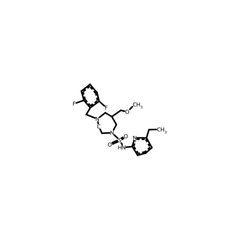 CCc1cccc(NS(=O)(=O)N2CCN(Cc3c(F)cccc3F)CC(COC)C2)n1